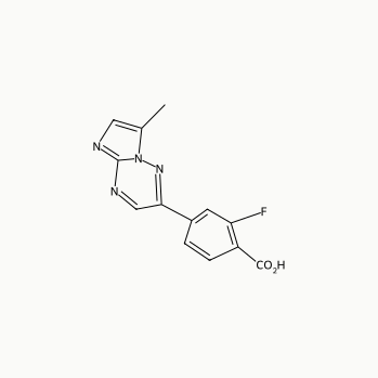 Cc1cnc2ncc(-c3ccc(C(=O)O)c(F)c3)nn12